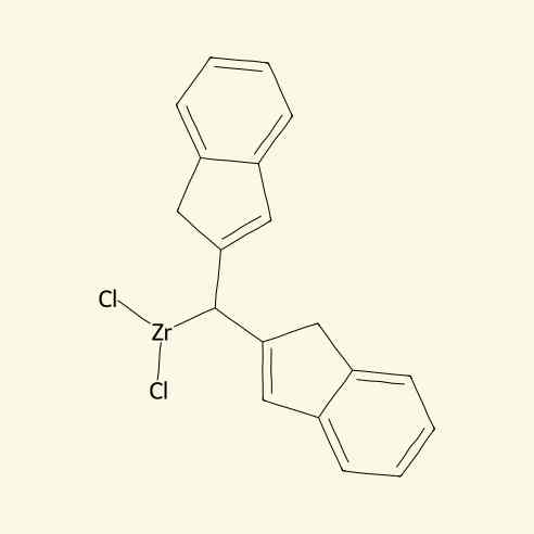 [Cl][Zr]([Cl])[CH](C1=Cc2ccccc2C1)C1=Cc2ccccc2C1